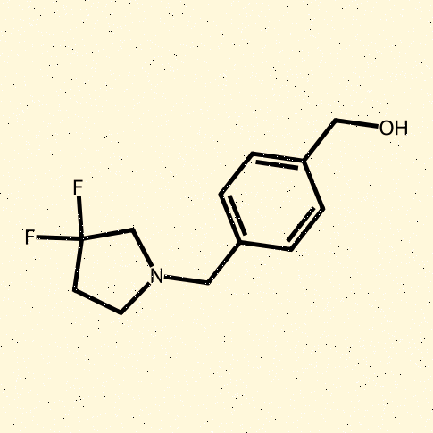 OCc1ccc(CN2CCC(F)(F)C2)cc1